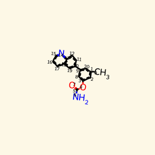 Cc1cc(OC(N)=O)cc(-c2ccc3ncccc3c2)c1